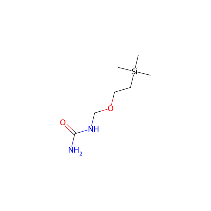 C[Si](C)(C)CCOCNC(N)=O